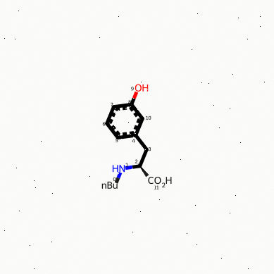 CCCCN[C@@H](Cc1cccc(O)c1)C(=O)O